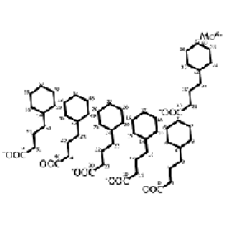 O=C([O-])CCCC1CCCCC1.O=C([O-])CCCC1CCCCC1.O=C([O-])CCCC1CCCCC1.O=C([O-])CCCC1CCCCC1.O=C([O-])CCCC1CCCCC1.O=C([O-])CCCC1CCCCC1.[Mo+6]